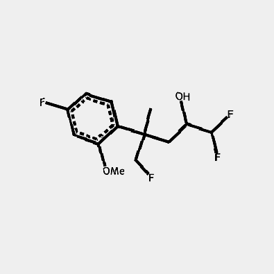 COc1cc(F)ccc1C(C)(CF)CC(O)C(F)F